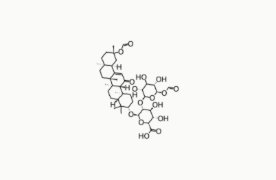 CC1(C)[C@@H](O[C@@H]2O[C@H](C(=O)O)[C@@H](O)[C@H](O)[C@H]2O[C@@H]2O[C@H](OC=O)[C@@H](O)[C@H](O)[C@H]2O)CC[C@]2(C)[C@H]3C(=O)C=C4[C@@H]5C[C@@](C)(OC=O)CC[C@]5(C)CC[C@@]4(C)[C@]3(C)CC[C@@H]12